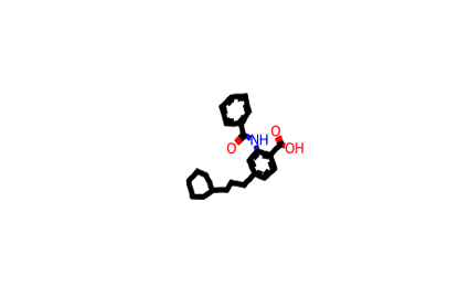 O=C(Nc1cc(CCCC2CCCCC2)ccc1C(=O)O)c1ccccc1